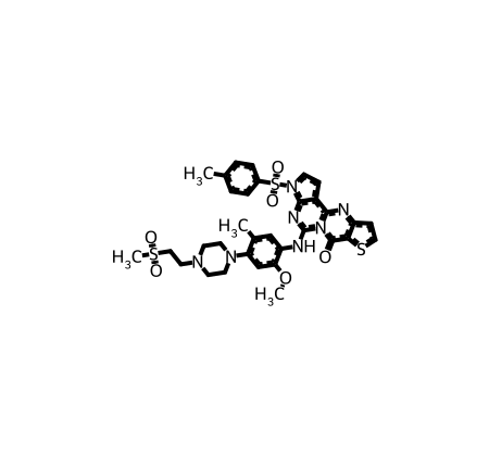 COc1cc(N2CCN(CCS(C)(=O)=O)CC2)c(C)cc1Nc1nc2c(ccn2S(=O)(=O)c2ccc(C)cc2)c2nc3ccsc3c(=O)n12